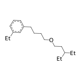 CCc1cccc(CCCCOCCC(CC)CC)c1